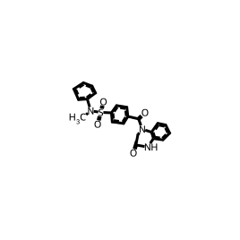 CN(c1ccccc1)S(=O)(=O)c1ccc(C(=O)N2CC(=O)Nc3ccccc32)cc1